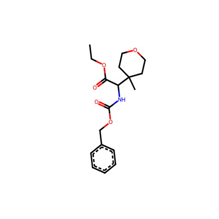 CCOC(=O)C(NC(=O)OCc1ccccc1)C1(C)CCOCC1